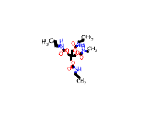 CCCNC(=O)OCC(COC(=O)NCC)(COC(=O)NCCC)COC(=O)NCCC